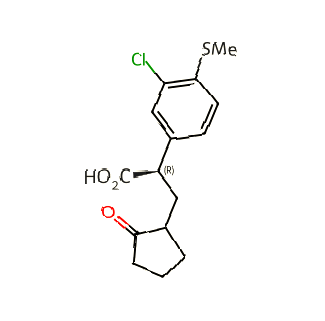 CSc1ccc([C@@H](CC2CCCC2=O)C(=O)O)cc1Cl